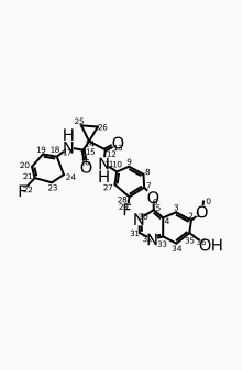 COc1cc2c(Oc3ccc(NC(=O)C4(C(=O)NC5=CC=C(F)CC5)CC4)cc3F)ncnc2cc1O